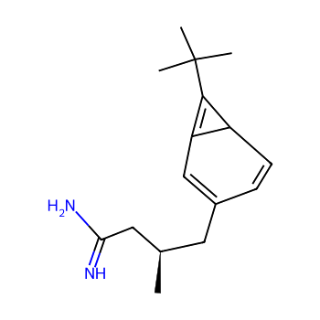 C[C@@H](CC(=N)N)CC1=CC2=C(C(C)(C)C)C2C=C1